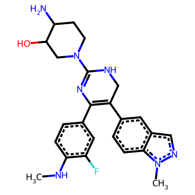 CNc1ccc(C2=C(c3ccc4c(cnn4C)c3)CNC(N3CCC(N)C(O)C3)=N2)cc1F